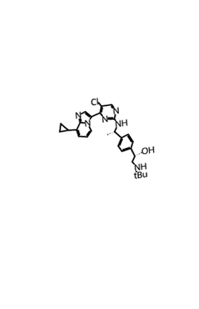 C[C@H](Nc1ncc(Cl)c(-c2cnc3c(C4CC4)cccn23)n1)c1ccc([C@H](O)CNC(C)(C)C)cc1